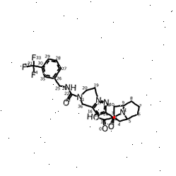 O=C(O)C1CC2CCCC(C1)N2C(=O)c1cc2n(n1)CCN(C(=O)NCc1cccc(C(F)(F)F)c1)C2